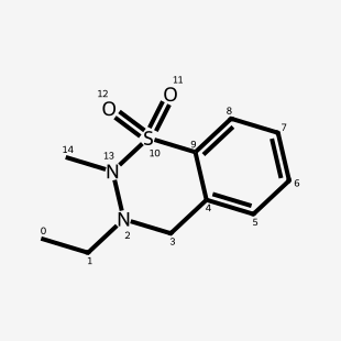 CCN1Cc2ccccc2S(=O)(=O)N1C